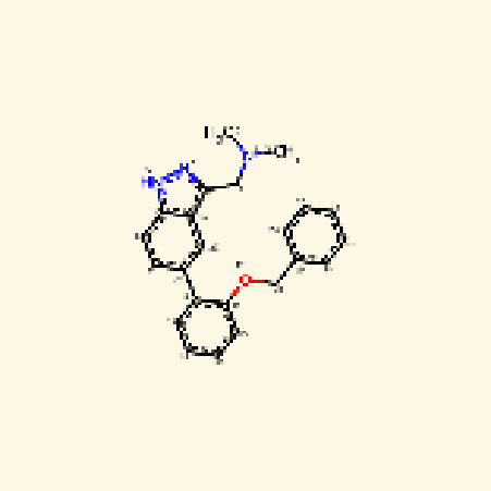 CN(C)Cc1n[nH]c2ccc(-c3ccccc3OCc3ccccc3)cc12